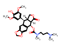 COc1cc([C@@H]2c3cc4c(cc3[C@H](OC(=O)N(C)CCCN(C)C)[C@@H]3C(=O)OC[C@@H]23)OCO4)cc(OC)c1O